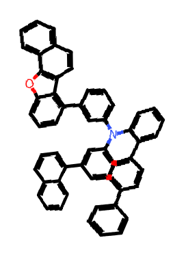 c1ccc(-c2ccc(-c3ccccc3N(c3cccc(-c4cccc5ccccc45)c3)c3cccc(-c4cccc5oc6c7ccccc7ccc6c45)c3)cc2)cc1